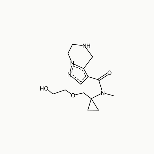 CN(C(=O)c1cnn2c1CNCC2)C1(COCCO)CC1